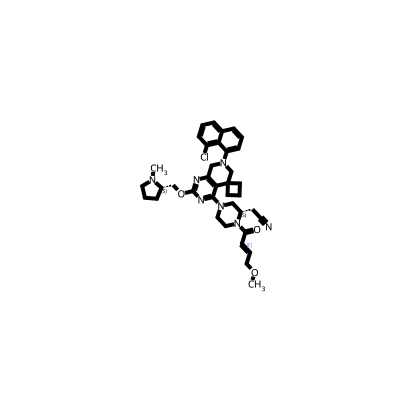 COC/C=C/C(=O)N1CCN(c2nc(OC[C@@H]3CCCN3C)nc3c2C2(CCC2)CN(c2cccc4cccc(Cl)c24)C3)C[C@@H]1CC#N